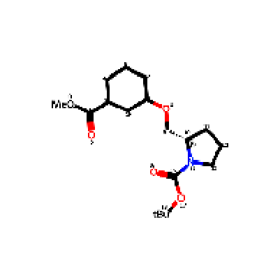 COC(=O)C1CCCC(OC[C@@H]2CCCN2C(=O)OC(C)(C)C)C1